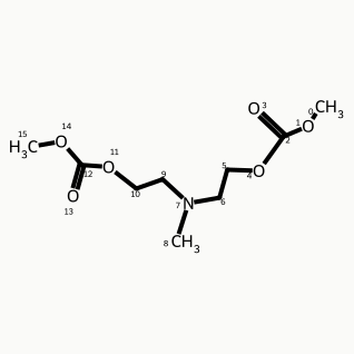 COC(=O)OCCN(C)CCOC(=O)OC